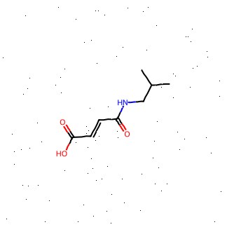 CC(C)CNC(=O)C=CC(=O)O